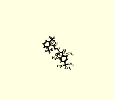 Cc1cc(C(C)(C)C)cc(C)c1C(=O)[PH](=O)CCC(=O)c1c(C(F)(F)F)cccc1C(F)(F)F